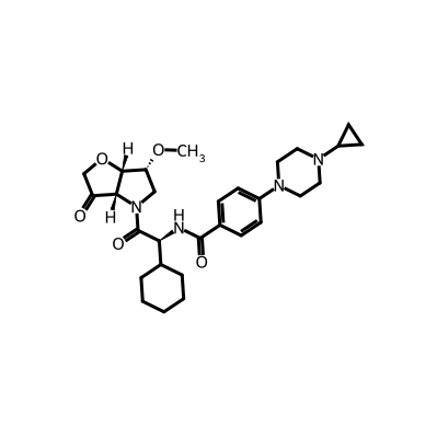 CO[C@@H]1CN(C(=O)[C@@H](NC(=O)c2ccc(N3CCN(C4CC4)CC3)cc2)C2CCCCC2)[C@@H]2C(=O)CO[C@@H]21